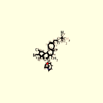 C=C=C(OCC/C1=C\CCCCCC1)C1=C(c2cc(Cl)c(Br)c(F)c2C)NC2(CCC=C(CC(=O)OC(C)(C)C)CC2)C(=O)CC1=C